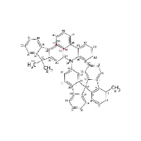 CC1CC=CC2=C1c1ccccc1C21c2ccccc2-c2ccc(N(c3ccc4c(c3)C(C)(C)c3ccccc3-4)c3ccccc3-c3ccccc3)cc21